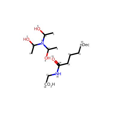 CC(O)N(C(C)O)C(C)O.CCCCCCCCCCCCCC(=O)NCC(=O)O